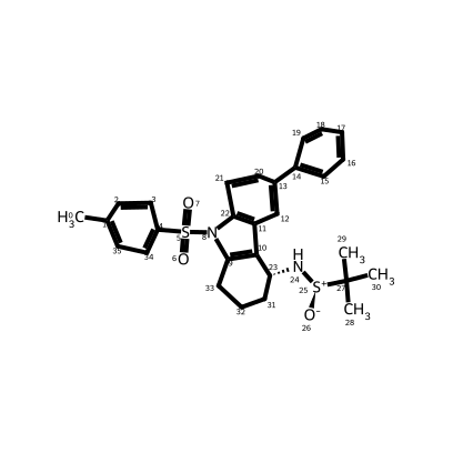 Cc1ccc(S(=O)(=O)n2c3c(c4cc(-c5ccccc5)ccc42)[C@H](N[S@+]([O-])C(C)(C)C)CCC3)cc1